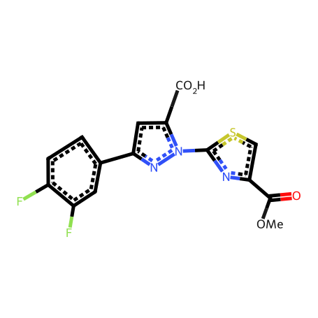 COC(=O)c1csc(-n2nc(-c3ccc(F)c(F)c3)cc2C(=O)O)n1